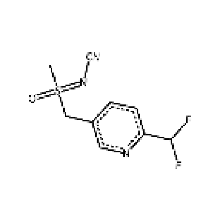 CS(=O)(Cc1ccc(C(F)F)nc1)=NC#N